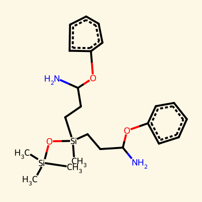 C[Si](C)(C)O[Si](C)(CCC(N)Oc1ccccc1)CCC(N)Oc1ccccc1